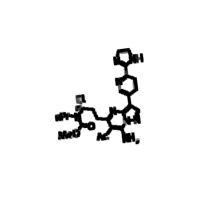 CCCN(C(=O)OC)[C@H](CC)CCc1nc2c(-c3ccc(-c4ncc[nH]4)nc3)cnn2c(N)c1C(C)=O